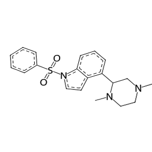 CN1CCN(C)C(c2cccc3c2ccn3S(=O)(=O)c2ccccc2)C1